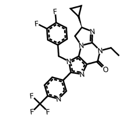 CCN1C(=O)c2nc(-c3ccc(C(F)(F)F)nc3)n(Cc3ccc(F)c(F)c3)c2N2C[C@@H](C3CC3)N=C12